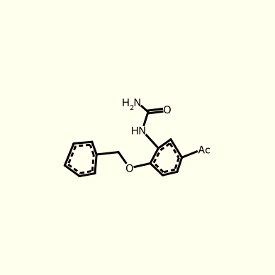 CC(=O)c1ccc(OCc2ccccc2)c(NC(N)=O)c1